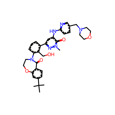 Cn1nc(-c2cccc(N3CCOc4cc(C(C)(C)C)ccc4C3=O)c2CO)cc(Nc2ccc(CN3CCOCC3)cn2)c1=O